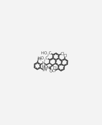 CC(C)c1cccc(C(C)C)c1NC(=O)C1C(C(=O)O)=c2c(C(=O)O)cc(Cl)c3c2c(c2c(Cl)ccc4ccc(Cl)c3c42)C1(Cl)C(N)=O